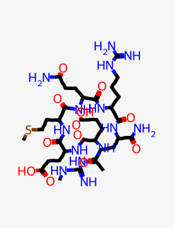 CNC(=N)NCCCC(NC(=O)C(CCCNC(=N)N)NC(=O)C(CCC(N)=O)NC(=O)C(CCSC)NC(=O)C(CCC(=O)O)NC(=O)C(CCC(=O)O)NC(C)=O)C(N)=O